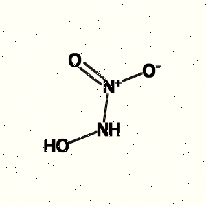 O=[N+]([O-])NO